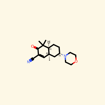 CC1(C)C(=O)C(C#N)=C[C@]2(C)C[C@@H](N3CCOCC3)CC[C@H]12